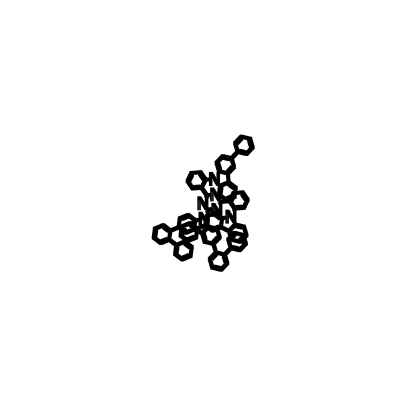 c1ccc(-c2ccc3c(c2)c2ccccc2n3-c2ccccc2-c2nc(-c3ccccc3-n3c4ccccc4c4cc(-c5ccccc5)ccc43)nc(-n3c4ccc(-c5ccccc5-c5ccccc5)cc4c4cc(-c5ccccc5-c5ccccc5)ccc43)n2)cc1